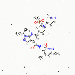 Cc1cc(C)c(CNC(=O)c2cc(C3CCN(C4CCNCC4)[C@H](S(C)(=O)=O)C3)nc3c2cnn3C(C)C)c(=O)[nH]1